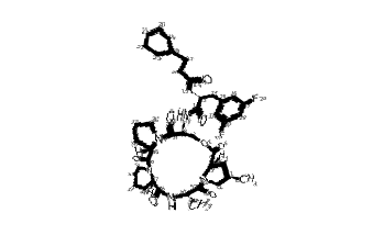 C[C@@H]1C[C@H]2C(=O)OC[C@H](NC(=O)[C@H](CC(=O)CCC3CCCCC3)Cc3cc(F)cc(F)c3)C(=O)N3CCC[C@H]3C(=O)N3CCCC[C@H]3C(=O)N[C@@H](C)C(=O)N2C1